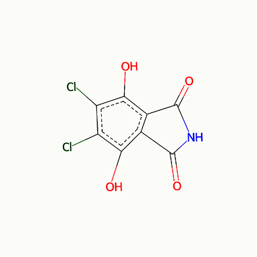 O=C1NC(=O)c2c(O)c(Cl)c(Cl)c(O)c21